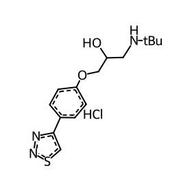 CC(C)(C)NCC(O)COc1ccc(-c2csnn2)cc1.Cl